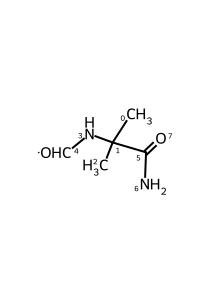 CC(C)(N[C]=O)C(N)=O